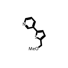 COCc1ccc(-c2cccnc2)s1